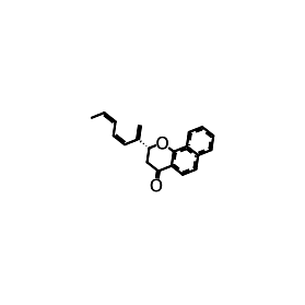 C=C(/C=C\C=C/C)[C@H]1CC(=O)c2ccc3ccccc3c2O1